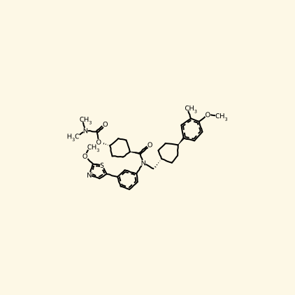 COc1ncc(-c2cccc(N(C[C@H]3CC[C@H](c4ccc(OC)c(C)c4)CC3)C(=O)[C@H]3CC[C@H](OC(=O)N(C)C)CC3)c2)s1